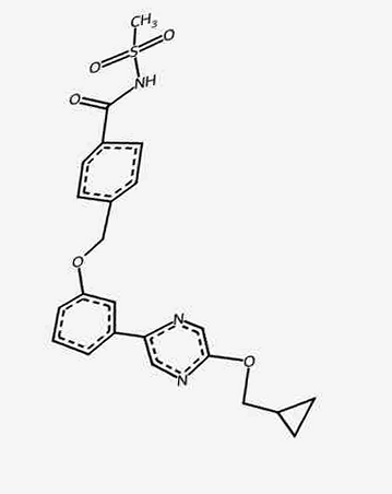 CS(=O)(=O)NC(=O)c1ccc(COc2cccc(-c3cnc(OCC4CC4)cn3)c2)cc1